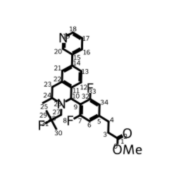 COC(=O)CCc1cc(F)c(C2c3ccc(-c4cccnc4)cc3CC(C)N2CC(C)(C)F)c(F)c1